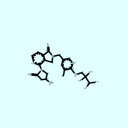 Cc1cc(CN2Cc3c(ccnc3N3CC(O)CC3=O)C2=O)cnc1OCC(F)(F)C(F)F